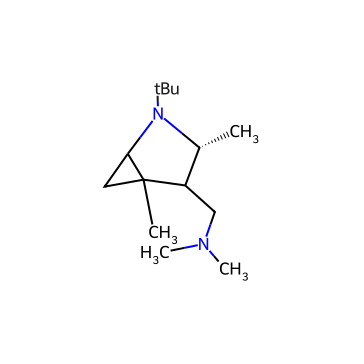 C[C@@H]1C(CN(C)C)C2(C)CC2N1C(C)(C)C